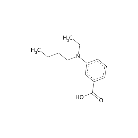 CCCCN(CC)c1cccc(C(=O)O)c1